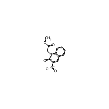 COC(=O)Cn1c(=O)c([N+](=O)[O-])cc2ccccc21